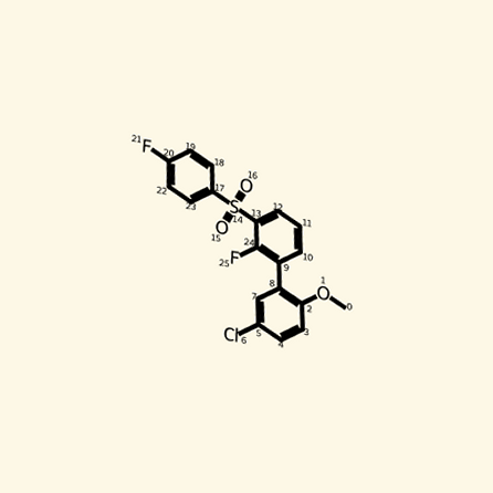 COc1ccc(Cl)cc1-c1cccc(S(=O)(=O)c2ccc(F)cc2)c1F